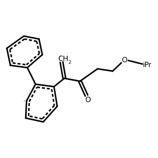 C=C(C(=O)CCOC(C)C)c1ccc[c]c1-c1ccccc1